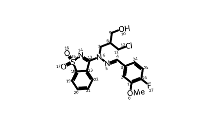 COc1cc(/C=N/N(CC(CO)CCl)C2=NS(=O)(=O)c3ccccc32)ccc1F